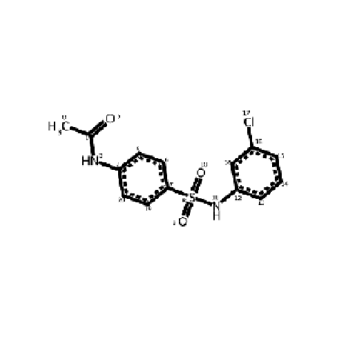 CC(=O)Nc1ccc(S(=O)(=O)Nc2cccc(Cl)c2)cc1